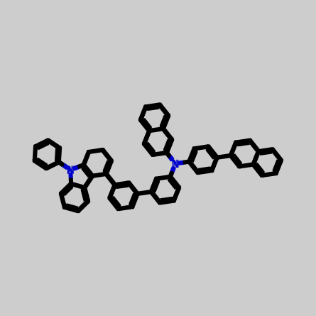 C1=C(c2cccc(-c3cccc(N(c4ccc(-c5ccc6ccccc6c5)cc4)c4ccc5ccccc5c4)c3)c2)c2c(n(-c3ccccc3)c3ccccc23)CC1